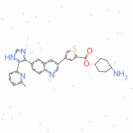 Cc1cccc(-c2[nH]cnc2-c2ccc3ncc(-c4csc(C(=O)O[C@H]5CC[C@](C)(N)CC5)c4)cc3c2)n1